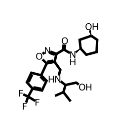 CC(C)C(CO)NCc1c(C(=O)N[C@@H]2CCC[C@H](O)C2)noc1-c1ccc(C(F)(F)F)cc1